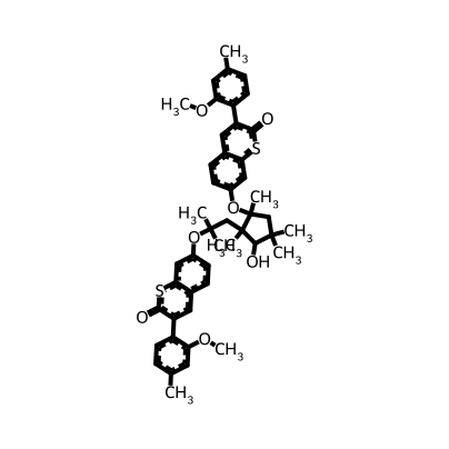 COc1cc(C)ccc1-c1cc2ccc(OC(C)(C)CC3(C)C(O)C(C)(C)CC3(C)Oc3ccc4cc(-c5ccc(C)cc5OC)c(=O)sc4c3)cc2sc1=O